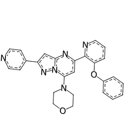 c1ccc(Oc2cccnc2-c2cc(N3CCOCC3)n3nc(-c4ccncc4)cc3n2)cc1